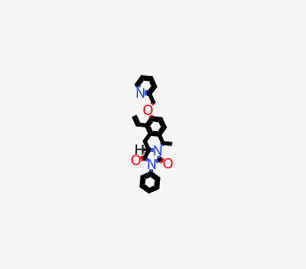 C=Cc1c(OCc2ccccn2)ccc2c1C[C@H]1C(=O)N(c3ccccc3)C(=O)N1C2C